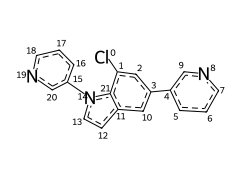 Clc1cc(-c2cccnc2)cc2ccn(-c3cccnc3)c12